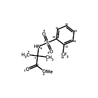 COC(=O)C(C)(C)NS(=O)(=O)c1ccccc1C(F)(F)F